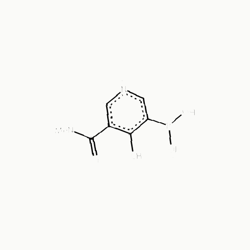 CNC(=O)c1cncc(B(O)O)c1C